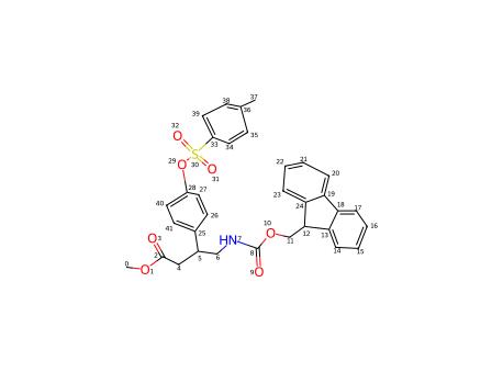 COC(=O)CC(CNC(=O)OCC1c2ccccc2-c2ccccc21)c1ccc(OS(=O)(=O)c2ccc(C)cc2)cc1